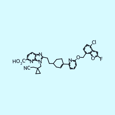 N#CCC1(Cn2c(CCC3CC=C(c4cccc(OCc5ccc(Cl)c6cc(F)oc56)n4)CC3)nc3ccc(C(=O)O)nc32)CC1